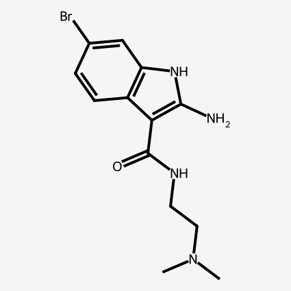 CN(C)CCNC(=O)c1c(N)[nH]c2cc(Br)ccc12